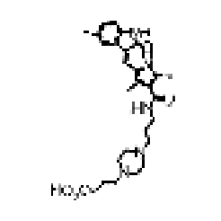 Cc1[nH]c(/C=C2\C(=O)Nc3ccc(F)cc32)c(C)c1C(=O)NCCCN1CCN(CCCC(=O)O)CC1